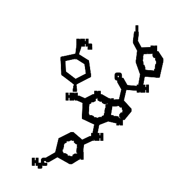 Cc1ccc(Nc2cc(N[C@H]3CC[C@H](N)CC3)nn3c(C(=O)Nc4ccnc(CI)c4)cnc23)nc1